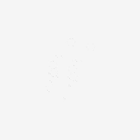 Cc1ccc(OCC(=O)Nc2ccc3nc(N4CC5CC4CN5)nc(C)c3c2)cc1.Cc1ccc(OCC(=O)Nc2ccc3nc(N4CCC(N5CCCC5)CC4)nc(C)c3c2)cc1